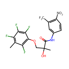 Cc1c(F)c(F)c(F)c(OCC(C)(O)C(=O)Nc2ccc([N+](=O)[O-])c(C(F)(F)F)c2)c1F